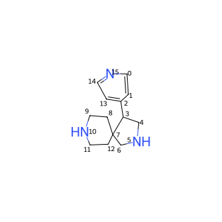 c1cc(C2CNCC23CCNCC3)ccn1